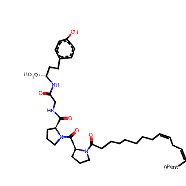 CCCCC/C=C\C/C=C\CCCCCCCC(=O)N1CCCC1C(=O)N1CCC[C@H]1C(=O)NCC(=O)N[C@@H](CCc1ccc(O)cc1)C(=O)O